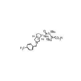 CC(C)(C)[C@@H](C(=O)N[C@H]1CC[C@@H]2CN(Cc3ccc(C(F)(F)F)cc3)C[C@@H]21)N(C(=O)O)C(C)(C)C